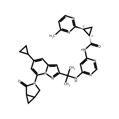 Cc1ccnc([C@H]2C[C@@H]2C(=O)Nc2cc(NC(C)(C)c3cc4cc(C5CC5)cc(N5CC6CC6C5=O)n4n3)ncn2)n1